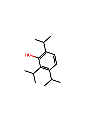 CC(C)c1ccc(C(C)C)c(C(C)C)c1O